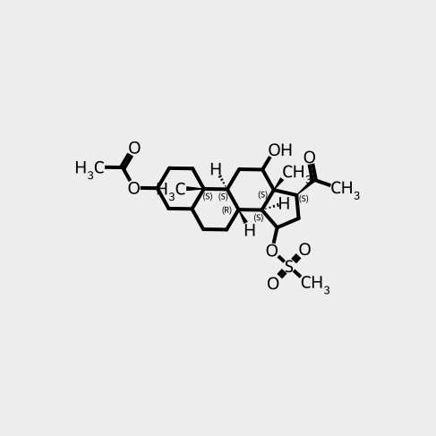 CC(=O)OC1CC[C@@]2(C)C(CC[C@H]3[C@@H]4C(OS(C)(=O)=O)C[C@H](C(C)=O)[C@@]4(C)C(O)C[C@@H]32)C1